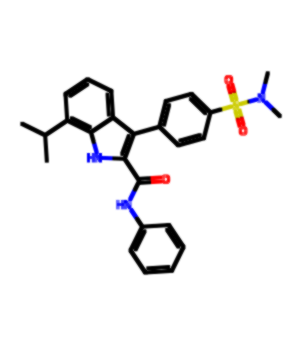 CC(C)c1cccc2c(-c3ccc(S(=O)(=O)N(C)C)cc3)c(C(=O)Nc3ccccc3)[nH]c12